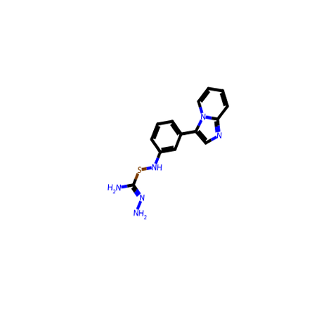 NN=C(N)SNc1cccc(-c2cnc3ccccn23)c1